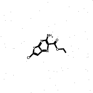 CCOC(=O)c1nc2cc(Cl)sc2nc1N